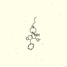 CCCCN1CC[N+]2(CC1)NC(OC)C1=C2COC1c1ccccc1